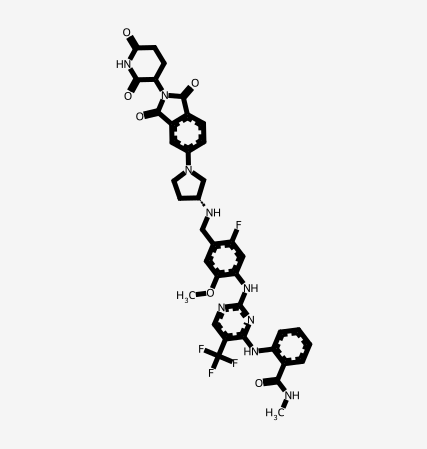 CNC(=O)c1ccccc1Nc1nc(Nc2cc(F)c(CN[C@@H]3CCN(c4ccc5c(c4)C(=O)N(C4CCC(=O)NC4=O)C5=O)C3)cc2OC)ncc1C(F)(F)F